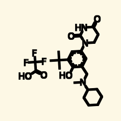 CN(Cc1cc(N2CCC(=O)NC2=O)cc(C(C)(C)C)c1O)C1CCCCC1.O=C(O)C(F)(F)F